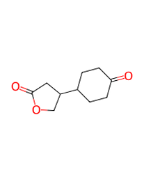 O=C1CCC(C2COC(=O)C2)CC1